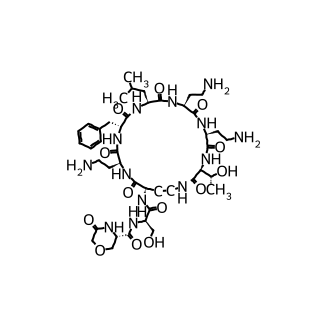 CC(C)C[C@@H]1NC(=O)[C@@H](Cc2ccccc2)NC(=O)[C@H](CCN)NC(=O)[C@@H](NC(=O)[C@@H](CO)NC(=O)[C@@H]2COCC(=O)N2)CCNC(=O)[C@H]([C@@H](C)O)NC(=O)[C@H](CCN)NC(=O)[C@H](CCN)NC1=O